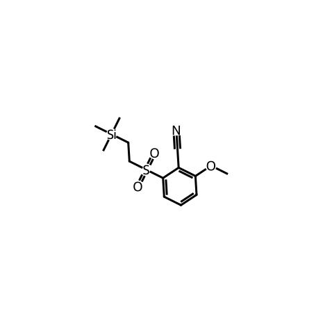 COc1cccc(S(=O)(=O)CC[Si](C)(C)C)c1C#N